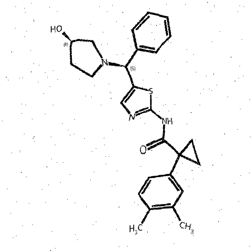 Cc1ccc(C2(C(=O)Nc3ncc([C@H](c4ccccc4)N4CC[C@@H](O)C4)s3)CC2)cc1C